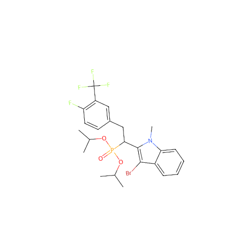 CC(C)OP(=O)(OC(C)C)C(Cc1ccc(F)c(C(F)(F)F)c1)c1c(Br)c2ccccc2n1C